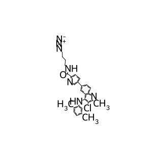 Cc1ccc(C)c(Nc2c(Cl)c(C)nc3ccc(-c4ccc(C(=O)NCCCCN=[N+]=[N-])nc4)cc23)c1